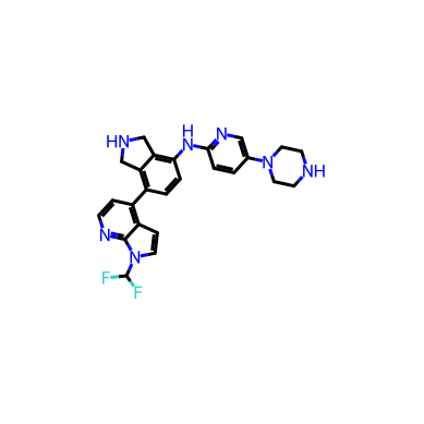 FC(F)n1ccc2c(-c3ccc(Nc4ccc(N5CCNCC5)cn4)c4c3CNC4)ccnc21